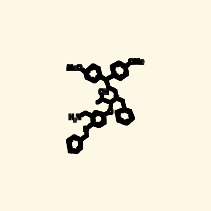 COc1ccc(C(CCN(Cc2ccccc2)C(Oc2ccc(OCc3ccccc3)c(CN)c2)C(C)O)c2ccc(OC)cc2)cc1